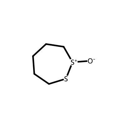 [O-][S+]1CCCCCS1